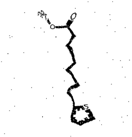 CCCOC(=O)CCCCCCc1cccs1